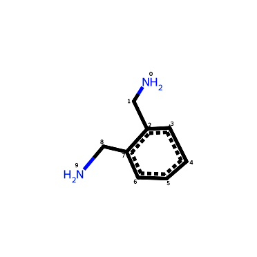 NCc1[c]cccc1CN